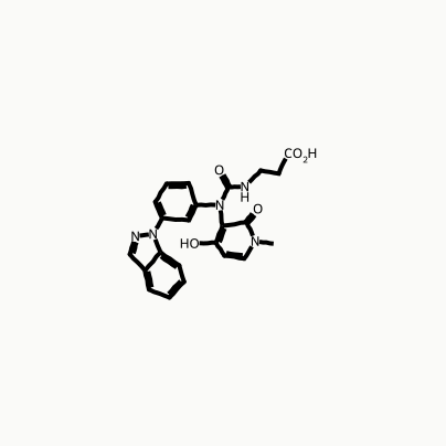 Cn1ccc(O)c(N(C(=O)NCCC(=O)O)c2cccc(-n3ncc4ccccc43)c2)c1=O